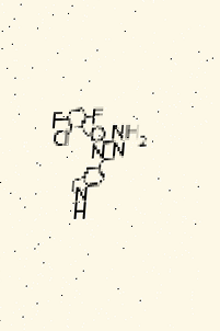 Nc1ncc(-c2ccc3[nH]ccc3c2)nc1OCc1c(F)ccc(F)c1Cl